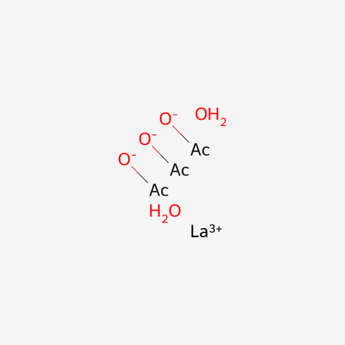 CC(=O)[O-].CC(=O)[O-].CC(=O)[O-].O.O.[La+3]